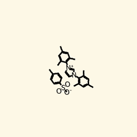 Cc1cc(C)c(-n2cc[n+](-c3c(C)cc(C)cc3C)c2)c(C)c1.Cc1ccc(S(=O)(=O)[O-])cc1